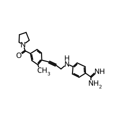 Cc1cc(C(=O)N2CCCC2)ccc1C#CCNc1ccc(C(=N)N)cc1